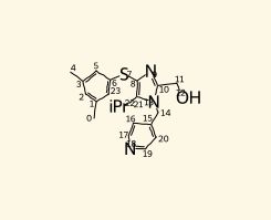 Cc1cc(C)cc(Sc2nc(CO)n(Cc3ccncc3)c2C(C)C)c1